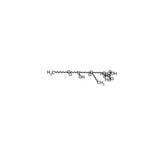 CCCCCCCCCCCOC(=O)CCCCCN(CCO)CCCCCCCC(=O)OC(CCCCCCCC)CCCCCCCC.O=C(O)c1cc(C(=O)O)cc(C(=O)O)c1